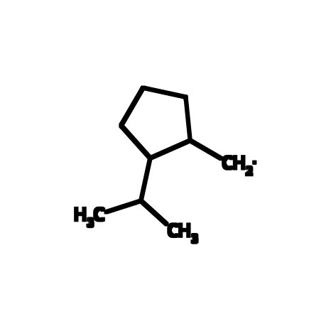 [CH2]C1CCCC1C(C)C